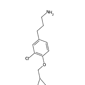 NCCCc1ccc(OCC2CC2)c(Cl)c1